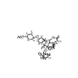 N#Cc1ccc(Oc2ccc(C(F)(F)C(O)(Cn3nc[nH]c3=O)c3ccc(F)cc3F)nc2)cc1